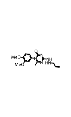 C=CCNNc1nc(C)n(-c2ccc(OC)c(OC)c2)c(=O)n1